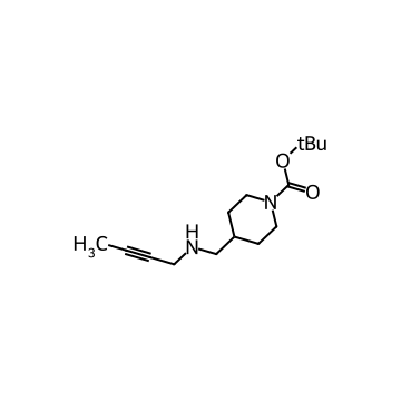 CC#CCNCC1CCN(C(=O)OC(C)(C)C)CC1